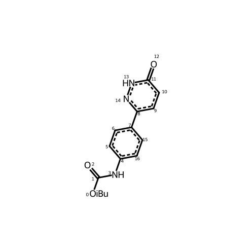 CC(C)COC(=O)Nc1ccc(-c2ccc(=O)[nH]n2)cc1